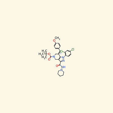 COc1ccc(/C=C2\CN(C(=O)OC(C)(C)C)Cc3c(C(=O)NN4CCCCC4)nn(-c4ccc(Cl)cc4Cl)c32)cc1